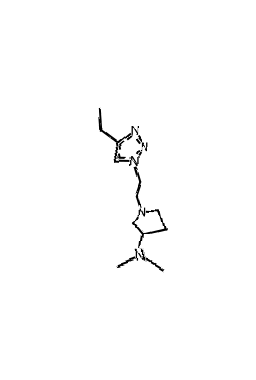 CCc1cn(CCN2CCC(N(C)C)C2)nn1